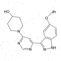 CC(C)Oc1ccc2[nH]nc(-c3cc(N4CCC(O)CC4)ncn3)c2c1